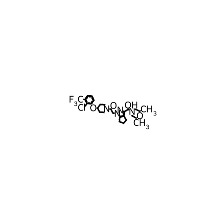 C[C@@H]1CN(C(O)c2nn(CC(=O)N3CCC(Oc4cccc(C(F)(F)F)c4Cl)CC3)c3c2CCC3)C[C@H](C)O1